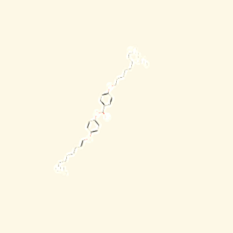 CCCCCC/C=C/Oc1ccc(OC(=O)c2ccc(OCCCCC[C@@H](C)CC)cc2)cc1